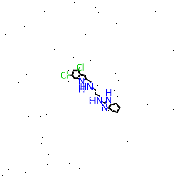 Clc1cc(Cl)c2cc(CNCCCNc3nc4ccccc4[nH]3)[nH]c2c1